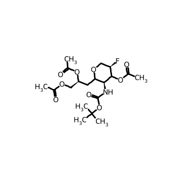 CC(=O)OC[C@H](CC1OC[C@@H](F)C(OC(C)=O)[C@H]1NC(=O)OC(C)(C)C)OC(C)=O